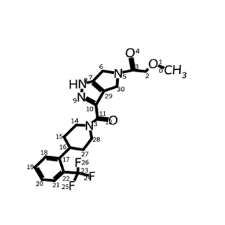 COCC(=O)N1Cc2[nH]nc(C(=O)N3CCC(c4ccccc4C(F)(F)F)CC3)c2C1